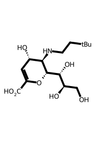 CC(C)(C)CCN[C@H]1[C@H]([C@H](O)[C@H](O)CO)OC(C(=O)O)=C[C@@H]1O